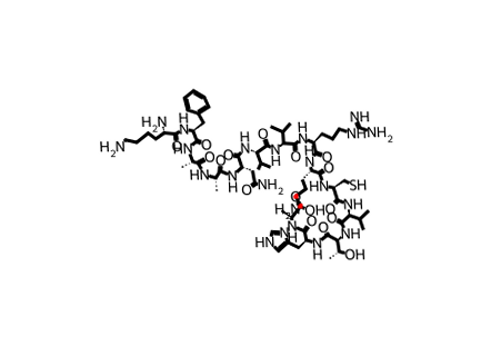 CC(C)[C@H](NC(=O)[C@H](CC(N)=O)NC(=O)[C@H](C)NC(=O)[C@H](C)NC(=O)[C@H](Cc1ccccc1)NC(=O)[C@@H](N)CCCCN)C(=O)N[C@H](C(=O)N[C@@H](CCCNC(=N)N)C(=O)N[C@@H](CCCCN)C(=O)N[C@@H](CS)C(=O)N[C@H](C(=O)N[C@H](C(=O)N[C@@H](Cc1c[nH]cn1)C(=O)N[C@@H](C)C(=O)O)[C@@H](C)O)C(C)C)C(C)C